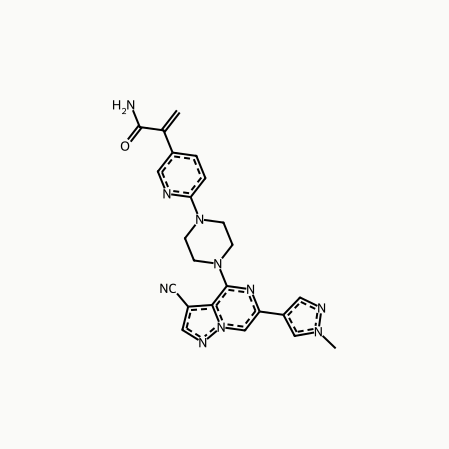 C=C(C(N)=O)c1ccc(N2CCN(c3nc(-c4cnn(C)c4)cn4ncc(C#N)c34)CC2)nc1